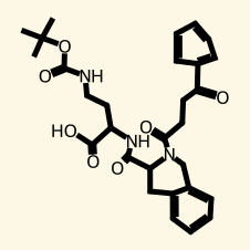 CC(C)(C)OC(=O)NCCC(NC(=O)C1Cc2ccccc2CN1C(=O)CCC(=O)c1ccccc1)C(=O)O